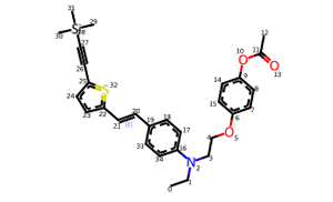 CCN(CCOc1ccc(OC(C)=O)cc1)c1ccc(/C=C/c2ccc(C#C[Si](C)(C)C)s2)cc1